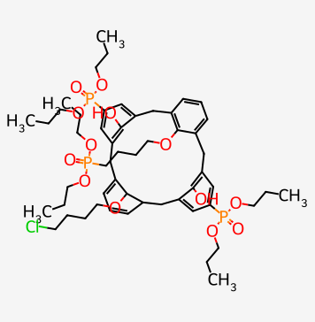 CCCOP(=O)(CCCCOc1c2cccc1Cc1cc(P(=O)(OCCC)OCCC)cc(c1O)CC1C=CC=C(Cc3cc(P(=O)(OCCC)OCCC)cc(c3O)C2)C1OCCCCCl)OCCC